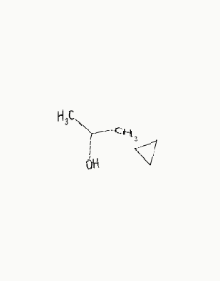 C1CC1.CC(C)O